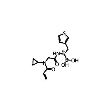 C=CC(=O)N(CC(=O)N[C@@H](Cc1ccsc1)B(O)O)C1CC1